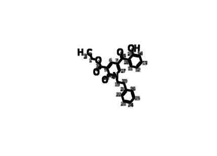 CCOC(=O)c1cc(C(=O)c2ccccc2O)cn(CCc2ccccc2)c1=O